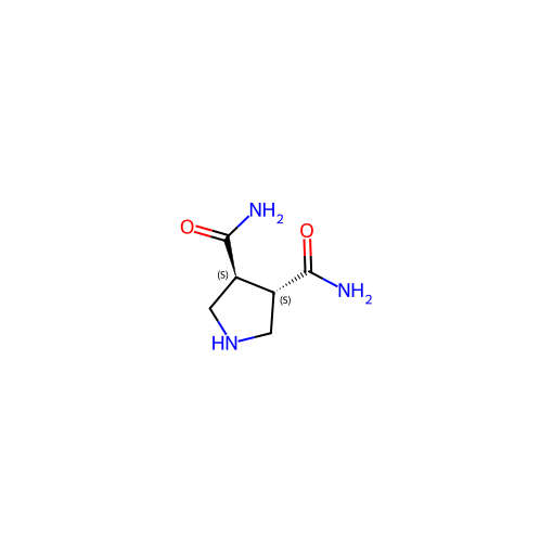 NC(=O)[C@@H]1CNC[C@H]1C(N)=O